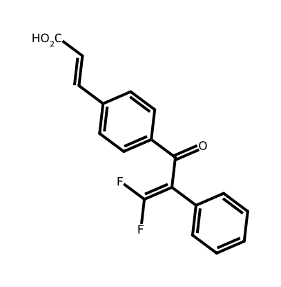 O=C(O)/C=C/c1ccc(C(=O)C(=C(F)F)c2ccccc2)cc1